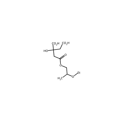 CCOC(C)COC(=O)CC(O)(CC(=O)O)C(=O)O